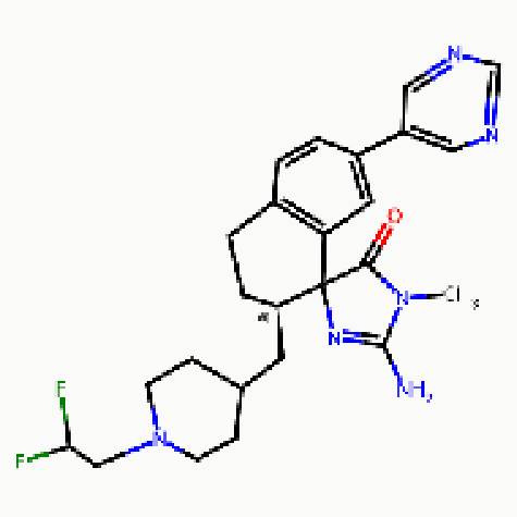 CN1C(=O)C2(N=C1N)c1cc(-c3cncnc3)ccc1CC[C@@H]2CC1CCN(CC(F)F)CC1